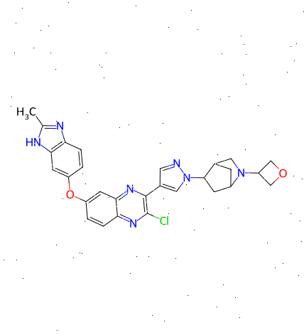 Cc1nc2ccc(Oc3ccc4nc(Cl)c(-c5cnn(C6CC7CC6CN7C6COC6)c5)nc4c3)cc2[nH]1